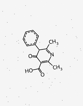 CC1=NC(C)=C(C(=O)O)C(=O)C1c1ccccc1